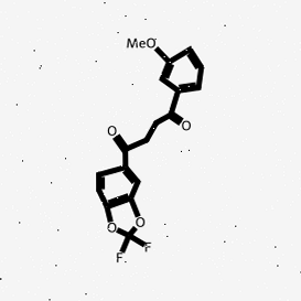 COc1cccc(C(=O)CCC(=O)c2ccc3c(c2)OC(F)(F)O3)c1